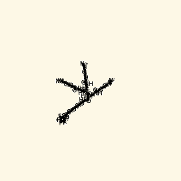 [N-]=[N+]=NCCOCCOCCC(=O)NCCCC[C@@H](NC(=O)CCCNC(=O)CCOCCOCCN=[N+]=[N-])C(=O)N[C@H](CCCCNC(=O)CCOCCOCCN=[N+]=[N-])C(=O)NCCOCCOCCOCCOCCC(=O)Oc1c(F)c(F)c(F)c(F)c1F